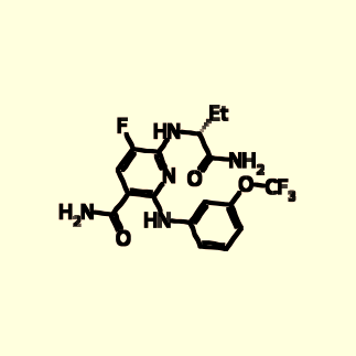 CC[C@@H](Nc1nc(Nc2cccc(OC(F)(F)F)c2)c(C(N)=O)cc1F)C(N)=O